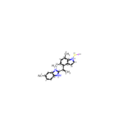 C=C(c1nc2cc(C#N)ccc2[nH]1)c1c(C)cc(C)c2c1ccn2SI